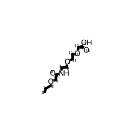 CCCOCC(=O)NCCOCCOCC(=O)O